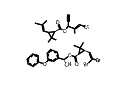 C#CC(OC(=O)[C@@H]1C(C=C(C)C)C1(C)C)/C(C)=C/CC.CC1(C)[C@H](C(=O)O[C@H](C#N)c2cccc(Oc3ccccc3)c2)[C@@H]1C=C(Br)Br